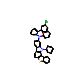 Brc1cccc(-c2ccccc2N(c2ccccc2)c2ccc3c4ccc5sc6ccccc6c5c4n(-c4ccccc4)c3c2)c1